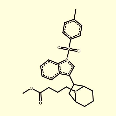 COC(=O)CCCN1C2CCCC1C(c1cn(S(=O)(=O)c3ccc(C)cc3)c3ccccc13)C2